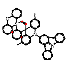 Cc1ccc2c(c1)C1(c3cc(C)ccc3N2c2cc3c4ccccc4n4c5ccccc5c(c2)c34)c2ccccc2[Si]2(c3ccccc3Oc3ccccc32)c2ccccc21